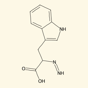 N=NC(Cc1c[nH]c2ccccc12)C(=O)O